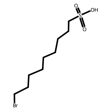 O=S(=O)(O)CCCCCCCCCBr